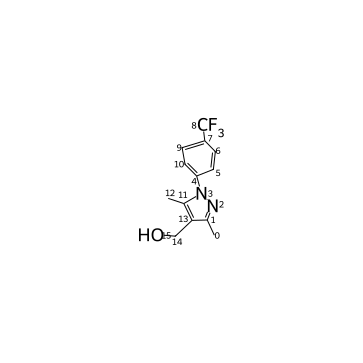 Cc1nn(-c2ccc(C(F)(F)F)cc2)c(C)c1CO